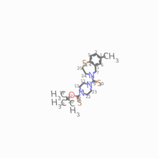 Cc1ccc2c(c1)CN(C(=S)N1CCN(C(=S)OC(C)(C)C)CC1)CCS2